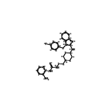 Nc1cccnc1NC(=S)NCCN1CCC(Nc2nc3ccccc3n2Cc2ccc(F)cc2)CC1